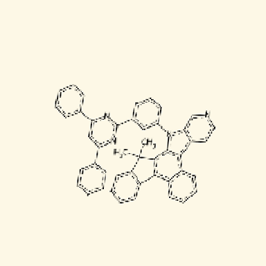 CC1(C)c2ccccc2-c2c1c1c(c3ccccc23)c2ccncc2n1-c1cccc(-c2nc(-c3ccccc3)cc(-c3ccccc3)n2)c1